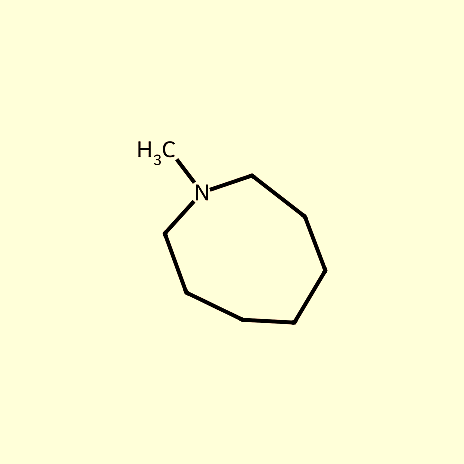 CN1CCCCCCC1